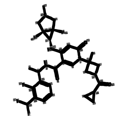 CC(NC(=O)c1cn(C2(C)CN(C(=O)C3CC3)C2)c(=O)cc1N[C@@H]1[C@@H]2CN(C)C[C@@H]21)c1cccc(C(F)F)c1F